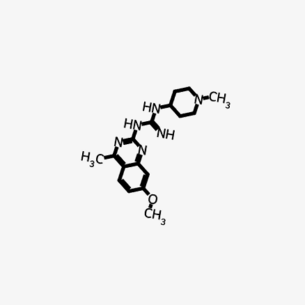 COc1ccc2c(C)nc(NC(=N)NC3CCN(C)CC3)nc2c1